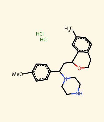 COc1ccc(C(CC2OCCc3ccc(C)cc32)N2CCNCC2)cc1.Cl.Cl